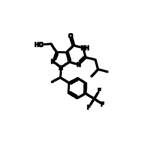 CC(C)Cc1nc2c(c(CO)nn2C(C)c2ccc(C(F)(F)F)cc2)c(=O)[nH]1